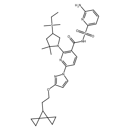 CCS(C)(C)C1CN(c2nc(-n3ccc(OCCC4C5(CC5)C45CC5)n3)ccc2C(=O)NS(=O)(=O)c2cccc(N)n2)C(C)(C)C1